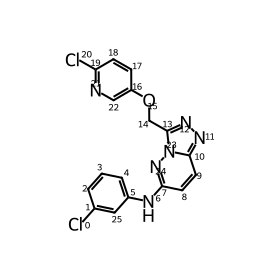 Clc1cccc(Nc2ccc3nnc(COc4ccc(Cl)nc4)n3n2)c1